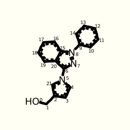 OCc1ccn(-c2nn(-c3ccccc3)c3ccccc23)c1